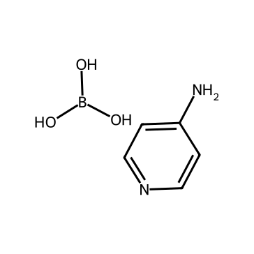 Nc1ccncc1.OB(O)O